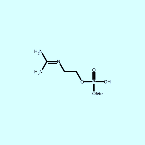 COP(=O)(O)OCCN=C(N)N